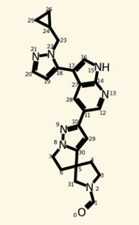 O=CN1CCC2(CCn3nc(-c4cnc5[nH]cc(-c6ccnn6CC6CC6)c5c4)cc32)C1